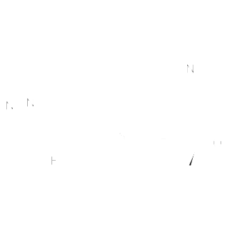 C[C@H]1C[C@@](C#N)(c2cccc(Sc3ccc(-c4ccnn4C)c(F)c3)c2F)CCO1